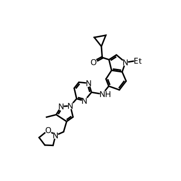 CCn1cc(C(=O)C2CC2)c2cc(Nc3nccc(-n4cc(CN5CCCO5)c(C)n4)n3)ccc21